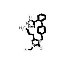 CC=CCc1nn(CC(C)C)c(=O)n1Cc1ccc(-c2ccccc2-c2nnn[nH]2)cc1